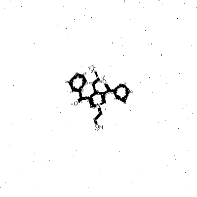 O=C(C1=CN(CCO)C=C(C(=O)c2ccccc2)C1CCC(F)(F)F)c1ccccc1